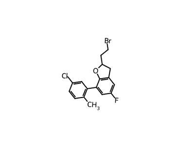 Cc1ccc(Cl)cc1-c1cc(F)cc2c1OC(CCBr)C2